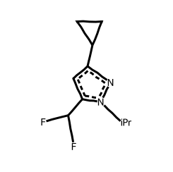 CC(C)n1nc(C2CC2)cc1C(F)F